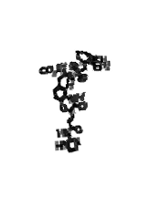 CCOC(=O)[C@H](Cc1ccc2c(c1)NC(=O)[C@@H](CCC(=O)Nc1ncc[nH]1)O2)NS(=O)(=O)C[C@]12CCC(CC1=O)C2(C)C